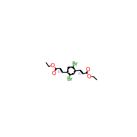 CCOC(=O)/C=C/c1cc(Br)c(/C=C/C(=O)OCC)cc1Br